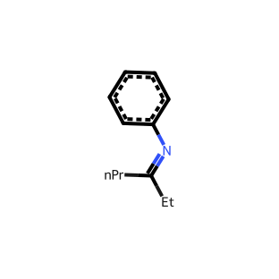 [CH2]CC(CCC)=Nc1ccccc1